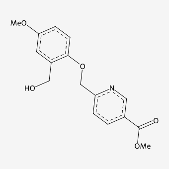 COC(=O)c1ccc(COc2ccc(OC)cc2CO)nc1